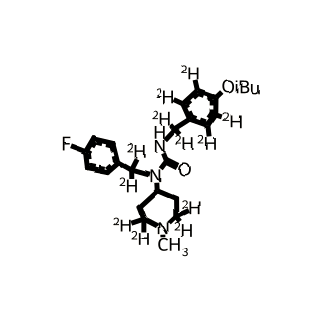 [2H]c1c([2H])c(C([2H])([2H])NC(=O)N(C2CC([2H])([2H])N(C)C([2H])([2H])C2)C([2H])([2H])c2ccc(F)cc2)c([2H])c([2H])c1OCC(C)C